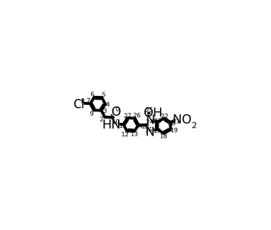 O=C(Cc1cccc(Cl)c1)Nc1ccc(-c2nc3ccc([N+](=O)[O-])cc3n2O)cc1